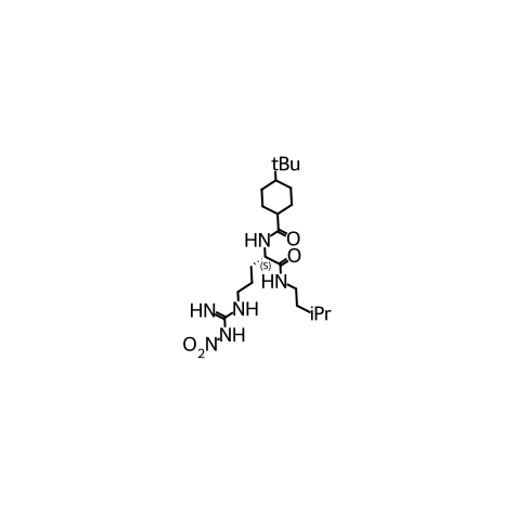 CC(C)CCNC(=O)[C@H](CCCNC(=N)N[N+](=O)[O-])NC(=O)C1CCC(C(C)(C)C)CC1